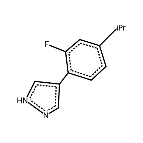 CC(C)c1ccc(-c2cn[nH]c2)c(F)c1